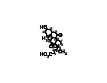 C[C@H](CCC(=O)O)[C@H]1CCC2C3C(=O)CC4CC(O)CC[C@]4(C)C3CC(=O)[C@@]21C